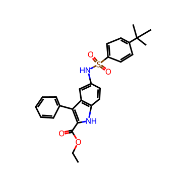 CCOC(=O)c1[nH]c2ccc(NS(=O)(=O)c3ccc(C(C)(C)C)cc3)cc2c1-c1ccccc1